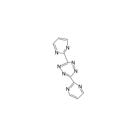 c1cnc(-c2nnc(-c3ncccn3)nn2)nc1